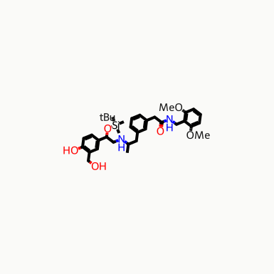 COc1cccc(OC)c1CNC(=O)Cc1cccc(CC(C)NCC(O[Si](C)(C)C(C)(C)C)c2ccc(O)c(CO)c2)c1